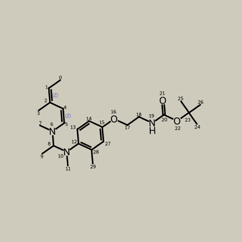 C/C=C(C)\C=C/N(C)C(C)N(C)c1ccc(OCCNC(=O)OC(C)(C)C)cc1C